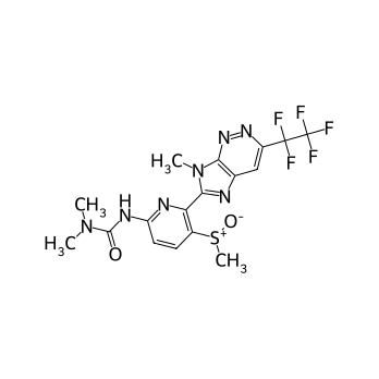 CN(C)C(=O)Nc1ccc([S+](C)[O-])c(-c2nc3cc(C(F)(F)C(F)(F)F)nnc3n2C)n1